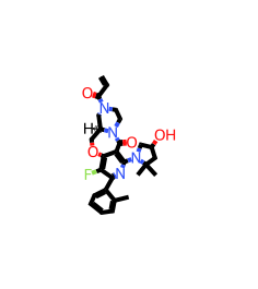 C=CC(=O)N1CCN2C(=O)c3c(N4CC(O)CC4(C)C)nc(-c4ccccc4C)c(F)c3OC[C@H]2C1